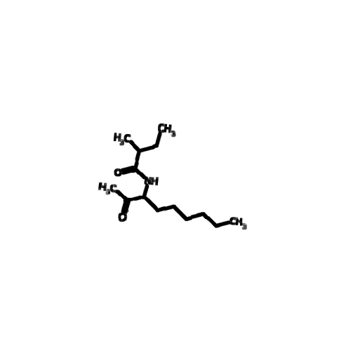 CCCCCCC(NC(=O)C(C)CC)C(C)=O